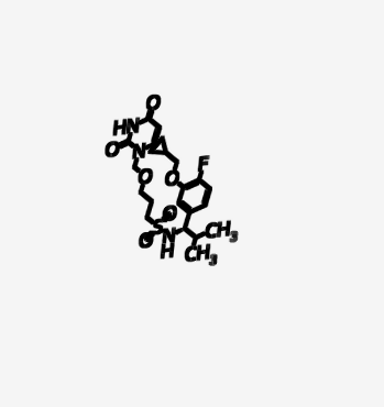 CC(C)[C@@H](NS(=O)(=O)CCCOCn1ccc(=O)[nH]c1=O)c1ccc(F)c(OCC2CC2)c1